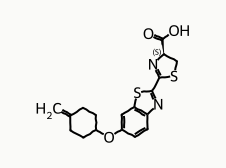 C=C1CCC(Oc2ccc3nc(C4=N[C@@H](C(=O)O)CS4)sc3c2)CC1